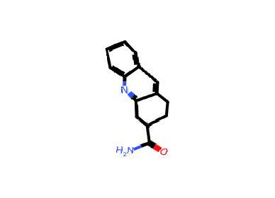 NC(=O)C1CCc2cc3ccccc3nc2C1